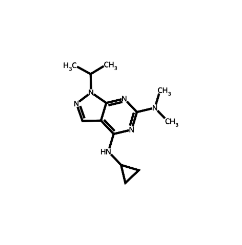 CC(C)n1ncc2c(NC3CC3)nc(N(C)C)nc21